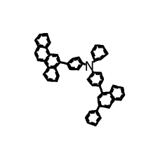 c1ccc(-c2cc(-c3ccc(N(c4ccccc4)c4ccc(-c5cc6c7ccccc7ccc6c6ccccc56)cc4)cc3)c3ccccc3c2)cc1